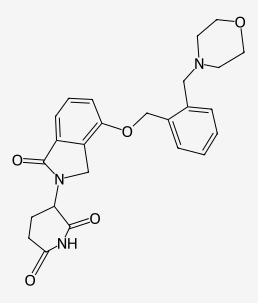 O=C1CCC(N2Cc3c(OCc4ccccc4CN4CCOCC4)cccc3C2=O)C(=O)N1